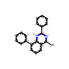 CC(C)c1nc(-c2ccccc2)nc2c(-c3ccccc3)cccc12